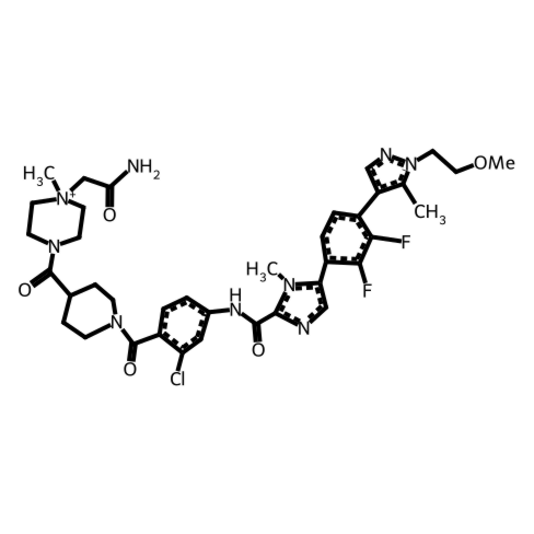 COCCn1ncc(-c2ccc(-c3cnc(C(=O)Nc4ccc(C(=O)N5CCC(C(=O)N6CC[N+](C)(CC(N)=O)CC6)CC5)c(Cl)c4)n3C)c(F)c2F)c1C